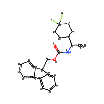 O=C(NC(C(=O)O)C1CCC(F)(F)CC1)OCC1c2ccccc2-c2ccccc21